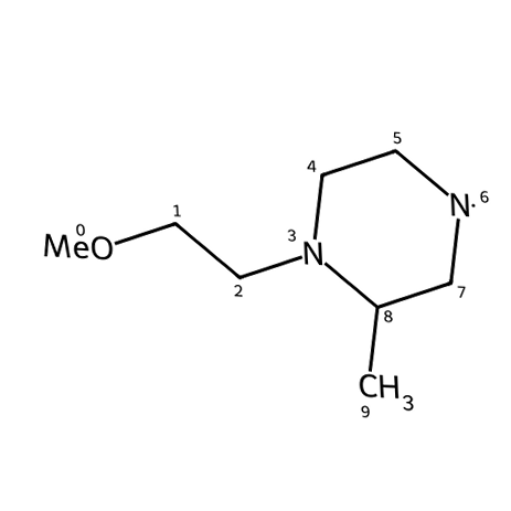 COCCN1CC[N]CC1C